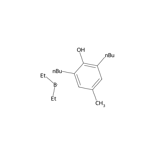 CCCCc1cc(C)cc(CCCC)c1O.CC[B]CC